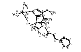 CC1=CC23C(=O)C(C=C(CO)C(O)C2(O)C1OC(=O)/C=C/c1ccccc1)C1C(CC3C)C1(C)C